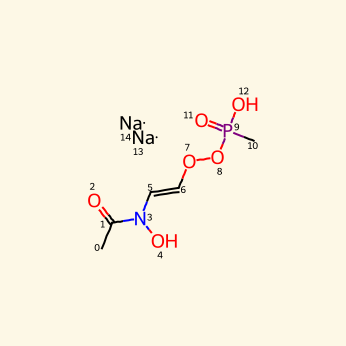 CC(=O)N(O)C=COOP(C)(=O)O.[Na].[Na]